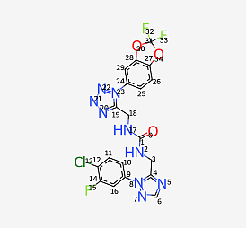 O=C(NCc1ncnn1-c1ccc(Cl)c(F)c1)NCc1nnnn1-c1ccc2c(c1)OC(F)(F)O2